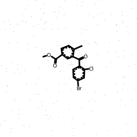 COC(=O)c1ccc(C)c(C(=O)c2ccc(Br)cc2Cl)c1